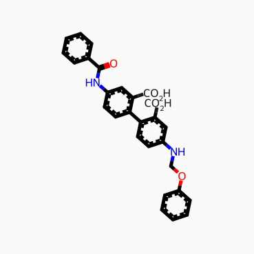 O=C(Nc1ccc(-c2ccc(NCOc3ccccc3)cc2C(=O)O)c(C(=O)O)c1)c1ccccc1